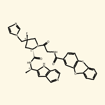 C[C@@H](NC(=O)[C@@H]1C[C@](F)(Cn2ccnc2)CN1C(=O)CNC(=O)c1ccc2c(c1)Oc1ccccc1S2)c1cc2cnccc2[nH]1